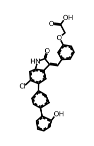 O=C(O)COc1cccc(C=C2C(=O)Nc3cc(Cl)c(-c4ccc(-c5ccccc5O)cc4)cc32)c1